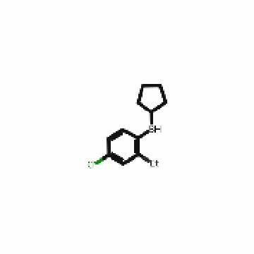 CCc1cc(Cl)ccc1BC1CCCC1